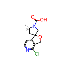 C[C@H]1CC2(CN1C(=O)O)OCc1c2ccnc1Cl